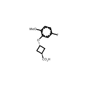 COc1ccc(F)cc1O[C@H]1C[C@H](C(=O)O)C1